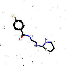 O=C(NCCNC1CCCCN1)c1ccc(Br)cc1